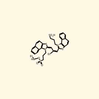 CCNOS(=O)(=O)CCCN1C(=CC(=Cc2sc3ccc4ccccc4c3[n+]2CCCS(=O)(=O)O)CC)Sc2ccc3ccccc3c21